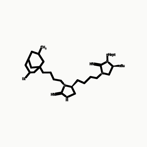 CCCCCCCN1C(=N)N(CCCC[C@H]2CNC(=N)N2CCCCC23CC(C)CC(CC(CC)C2)C3)C[C@@H]1CCCC